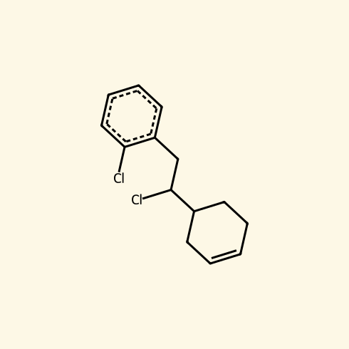 Clc1ccccc1CC(Cl)C1CC=CCC1